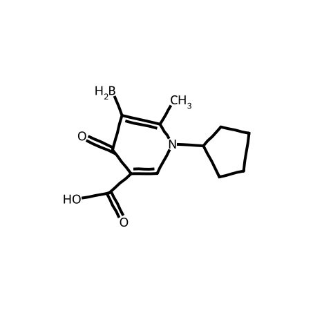 Bc1c(C)n(C2CCCC2)cc(C(=O)O)c1=O